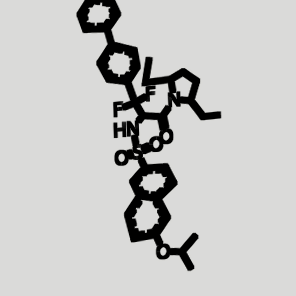 CCC1CCC(CC)N1C(=O)C(NS(=O)(=O)c1ccc2cc(OC(C)C)ccc2c1)C(F)(F)c1ccc(-c2ccccc2)cc1